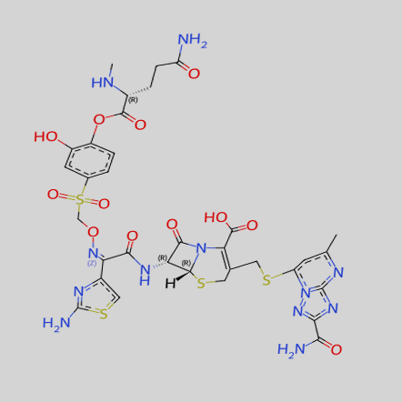 CN[C@H](CCC(N)=O)C(=O)Oc1ccc(S(=O)(=O)CO/N=C(\C(=O)N[C@@H]2C(=O)N3C(C(=O)O)=C(CSc4cc(C)nc5nc(C(N)=O)nn45)CS[C@H]23)c2csc(N)n2)cc1O